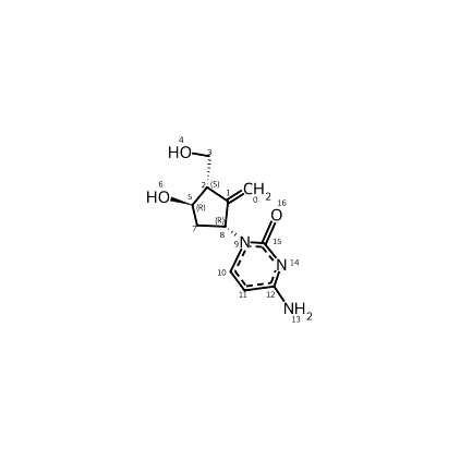 C=C1[C@@H](CO)[C@H](O)C[C@H]1n1ccc(N)nc1=O